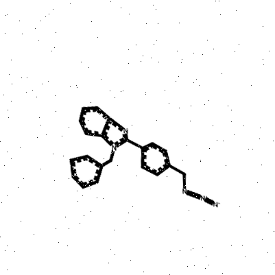 [N-]=[N+]=NCc1ccc(-c2nc3ccccc3n2Cc2ccccc2)cc1